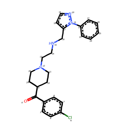 O=C(c1ccc(Cl)cc1)C1CCN(CCNCc2ccnn2-c2ccccc2)CC1